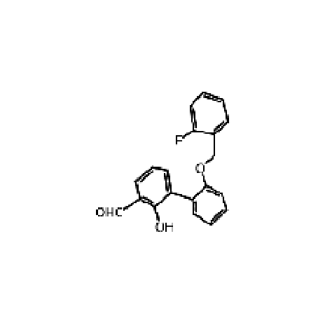 O=Cc1cccc(-c2ccccc2OCc2ccccc2F)c1O